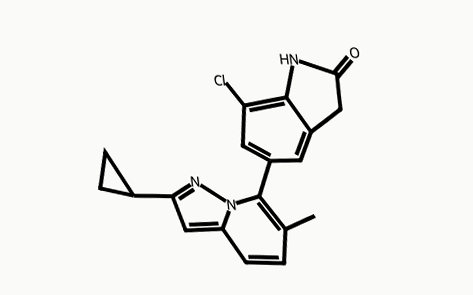 Cc1ccc2cc(C3CC3)nn2c1-c1cc(Cl)c2c(c1)CC(=O)N2